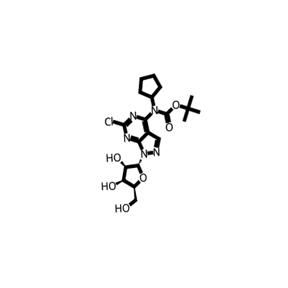 CC(C)(C)OC(=O)N(c1nc(Cl)nc2c1cnn2[C@@H]1O[C@@H](CO)[C@@H](O)[C@H]1O)C1CCCC1